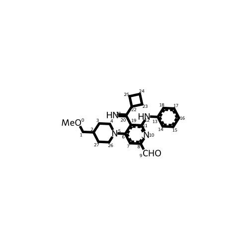 COCC1CCN(c2cc(C=O)nc(Nc3ccccc3)c2C(=N)C2CCC2)CC1